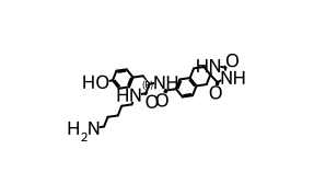 NCCCCCNC(=O)[C@@H](Cc1ccc(O)cc1)NC(=O)c1ccc2c(c1)CCC1(C2)NC(=O)NC1=O